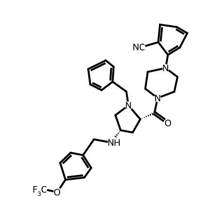 N#Cc1ccccc1N1CCN(C(=O)[C@@H]2C[C@H](NCc3ccc(OC(F)(F)F)cc3)CN2Cc2ccccc2)CC1